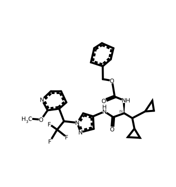 COc1ncccc1C(n1cc(NC(=O)[C@@H](NC(=O)OCc2ccccc2)C(C2CC2)C2CC2)cn1)C(F)(F)F